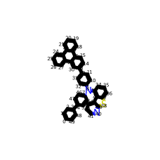 c1ccc(-c2ccc(N(c3ccc(-c4ccc5c6ccccc6c6ccccc6c5c4)cc3)c3cccc4sc5ncccc5c34)cc2)cc1